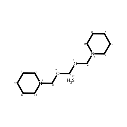 C1CCN(COCOCN2CCCCC2)CC1.S